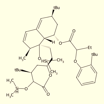 CCC(Oc1ccccc1C(C)(C)C)C(=O)O[C@H]1C[C@H](C(C)(C)C)C=C2C=C[C@H](C)[C@](CC[C@@H]3C[C@H](C(C)(C)C)C(O[SiH](C)C)C(=O)O3)(O[SiH](C)C)[C@H]21